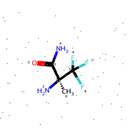 C[C@](N)(C(N)=O)C(F)(F)F